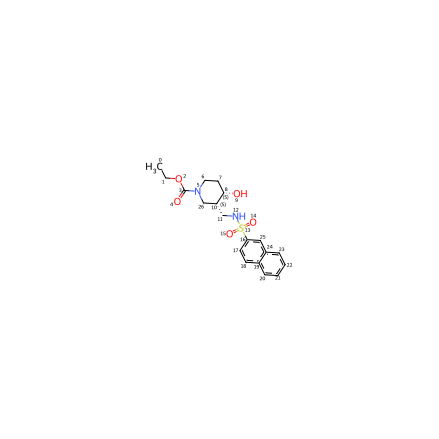 CCOC(=O)N1CC[C@H](O)[C@H](CNS(=O)(=O)c2ccc3ccccc3c2)C1